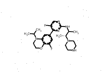 CC(Nc1ncc(F)c(-c2cc(F)c3c(c2)N(C(C)C)CCO3)n1)[C@@H](C)N1CCNCC1